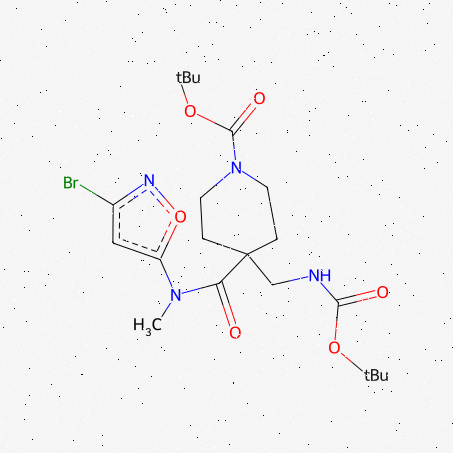 CN(C(=O)C1(CNC(=O)OC(C)(C)C)CCN(C(=O)OC(C)(C)C)CC1)c1cc(Br)no1